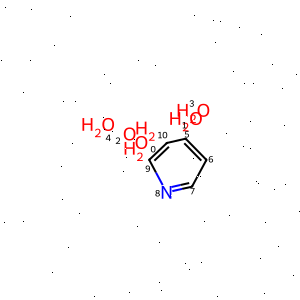 O.O.O.O.O.c1ccncc1